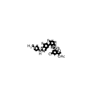 CC(=O)O[C@H]1COc2c1cc(Cl)cc2S(=O)(=O)Nc1ccc(F)c(-c2cc(F)c3nc(NC4CCN(C)CC4)ncc3c2)c1F